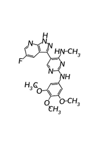 CNc1nc(Nc2cc(OC)c(OC)c(OC)c2)ncc1-c1n[nH]c2ncc(F)cc12